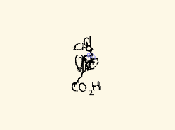 O=C(O)CCCCCCN1C(=O)C/C(=C\c2ccc(Cl)c(Cl)c2)C1=O